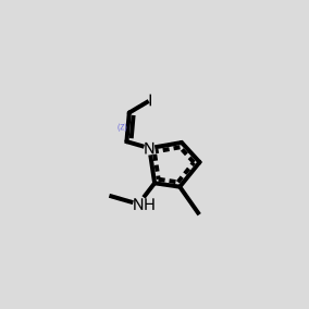 CNc1c(C)ccn1/C=C\I